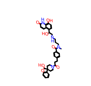 CN(CCCNC[C@H](O)c1ccc(O)c2[nH]c(=O)ccc12)C(=O)c1ccc(CCC(=O)N2CCC(C(=O)O)(c3ccccc3)CC2)cc1